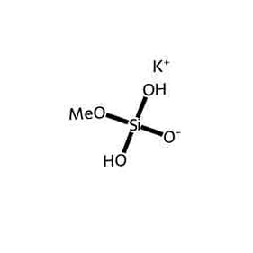 CO[Si]([O-])(O)O.[K+]